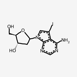 Nc1ncnc2c1c(I)cn2C1C[C@H](O)[C@@H](CO)O1